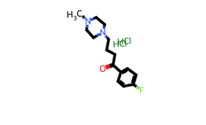 CN1CCN(CCCC(=O)c2ccc(F)cc2)CC1.Cl.Cl